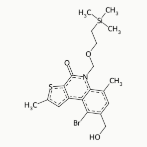 Cc1cc2c(s1)c(=O)n(COCC[Si](C)(C)C)c1c(C)cc(CO)c(Br)c21